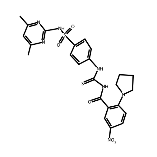 Cc1cc(C)nc(NS(=O)(=O)c2ccc(NC(=S)NC(=O)c3cc([N+](=O)[O-])ccc3N3CCCC3)cc2)n1